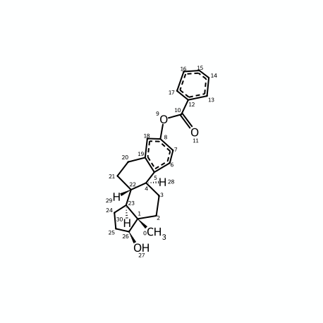 C[C@]12CC[C@@H]3c4ccc(OC(=O)c5ccccc5)cc4CC[C@H]3[C@@H]1CC[C@@H]2O